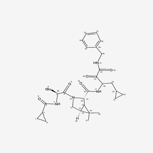 CC(C)(C)[C@H](NC(=O)C1CC1)C(=O)N1C[C@H]2C([C@H]1C(=O)NC(CC1CC1)C(=O)C(=O)NCc1ccccc1)C2(C)C